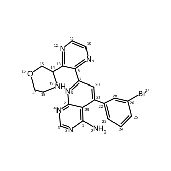 Nc1ncnc2nc(-c3nccnc3C3COCCN3)cc(-c3cccc(Br)c3)c12